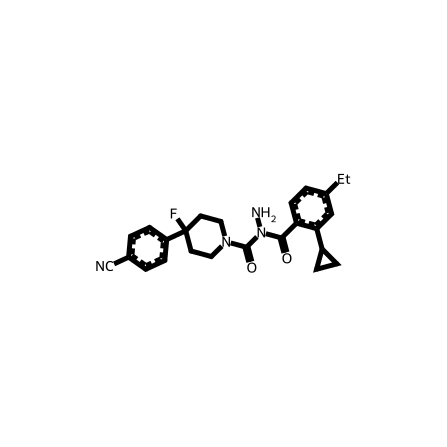 CCc1ccc(C(=O)N(N)C(=O)N2CCC(F)(c3ccc(C#N)cc3)CC2)c(C2CC2)c1